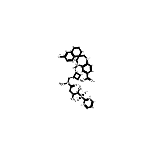 CC(CC(=O)N(C)C[C@@H]1CC[C@H]1CN1CC2(CCCc3cc(Cl)ccc32)COc2ccc(C(=O)O)cc21)C(C)S(=O)(=O)c1ncccn1